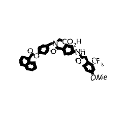 COc1ccc(CC(=O)Nc2ccc(C(=O)N(CC(=O)O)Cc3ccc(OC(=O)c4cccc5ccccc45)cc3)cc2)c(C(F)(F)F)c1